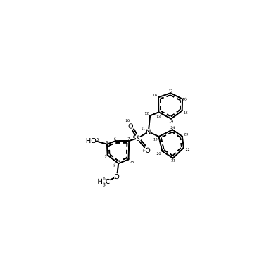 COc1cc(O)cc(S(=O)(=O)N(Cc2ccccc2)c2ccccc2)c1